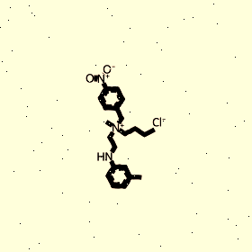 CCCC[N+](C)(CCNc1cccc(C)c1)Cc1ccc([N+](=O)[O-])cc1.[Cl-]